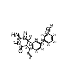 C=CC[C@H]1C(=O)N(C)C(=N)N[C@]1(C)c1cccc(-c2cccc(OC)c2)c1